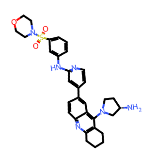 N[C@@H]1CCN(c2c3c(nc4ccc(-c5ccnc(Nc6cccc(S(=O)(=O)N7CCOCC7)c6)c5)cc24)CCCC3)C1